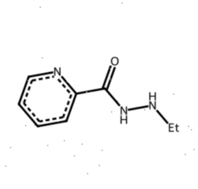 CCNNC(=O)c1ccccn1